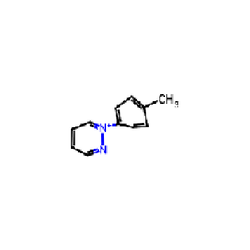 Cc1ccc(-[n+]2ccccn2)cc1